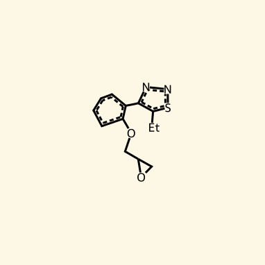 CCc1snnc1-c1ccccc1OCC1CO1